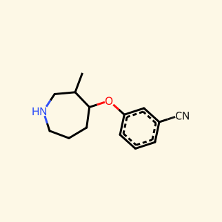 CC1CNCCCC1Oc1cccc(C#N)c1